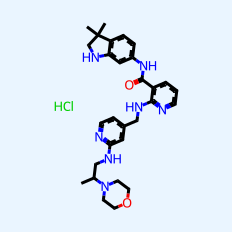 CC(CNc1cc(CNc2ncccc2C(=O)Nc2ccc3c(c2)NCC3(C)C)ccn1)N1CCOCC1.Cl